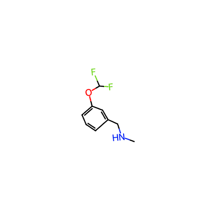 CNCc1cccc(OC(F)F)c1